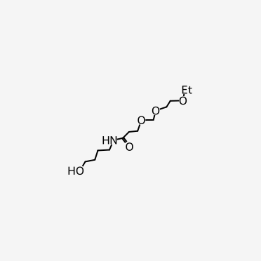 CCOCCOCOCCC(=O)NCCCCO